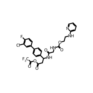 O=C(CNC(=O)OCCNc1ccccn1)NC(CC(=O)OC(=O)C(F)(F)F)c1ccc(-c2ccc(F)c(Cl)c2)cc1